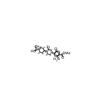 CC[C@H]1CN(c2nc(N)c(C(=O)OC)nc2Cl)CCN1C1CCN(B(C)O)CC1